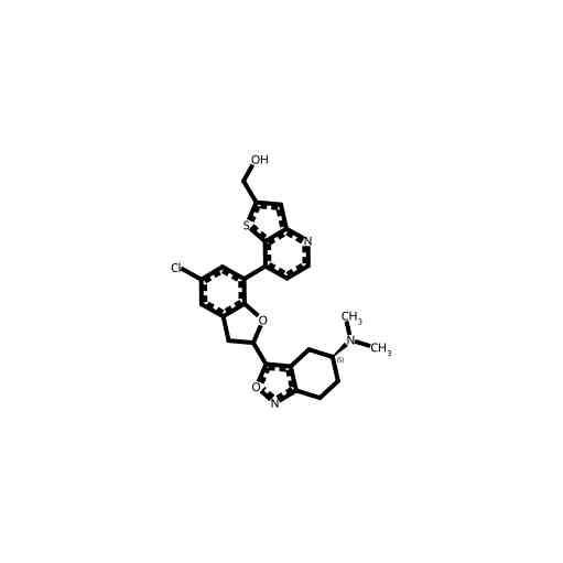 CN(C)[C@H]1CCc2noc(C3Cc4cc(Cl)cc(-c5ccnc6cc(CO)sc56)c4O3)c2C1